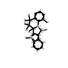 Cc1cccc2c1N1[C@@H](C)c3c(n(C)c4ccccc34)C1(C)C(C)(C)C2(C)C